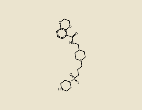 O=C(NCC1CCN(CCCS(=O)(=O)N2CCNCC2)CC1)c1cccc2c1OCCO2